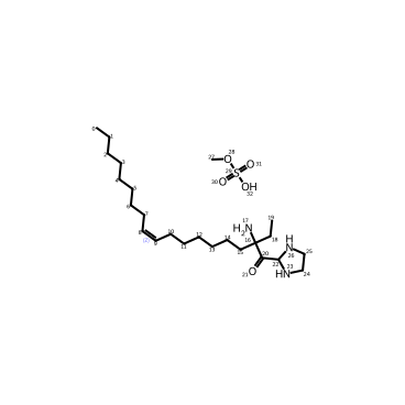 CCCCCCCC/C=C\CCCCCCC(N)(CC)C(=O)C1NCCN1.COS(=O)(=O)O